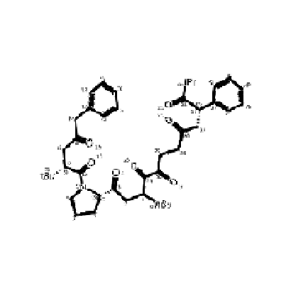 CCCCC(CC(=O)[C@@H]1CCCN1C(=O)[C@@H](CC(=O)Cc1ccccc1)C(C)(C)C)C(=O)C(=O)CCC(=O)C[C@H](C(=O)C(C)C)c1ccccc1